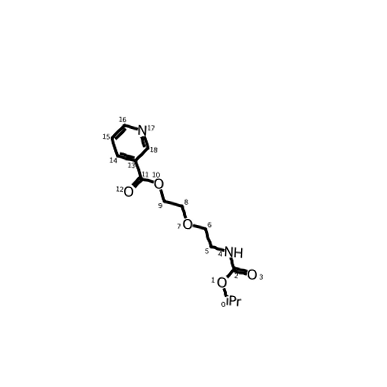 CC(C)OC(=O)NCCOCCOC(=O)c1cccnc1